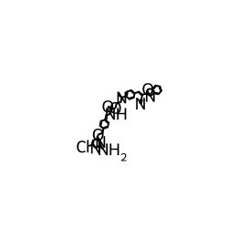 CN(CCOC(=O)NCc1ccc(COc2cc(Cl)nc(N)n2)cc1)c1ccc(/C=C(\C#N)c2nc3ccccc3o2)cc1